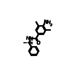 Cc1cc(C(=O)N[C@@H](C)c2ccccc2)cc(C)c1N